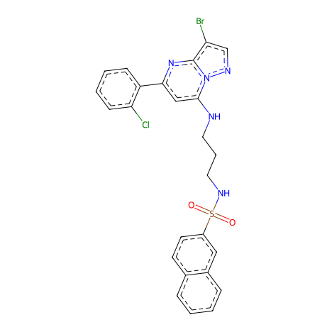 O=S(=O)(NCCCNc1cc(-c2ccccc2Cl)nc2c(Br)cnn12)c1ccc2ccccc2c1